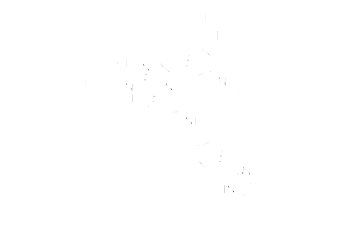 CC(C)Nc1ncc(-c2cc(N)cc(C(F)(F)F)c2)n(CC(=O)NCc2ccc(C3=NOC4(CCCCC4)N3)cc2)c1=O